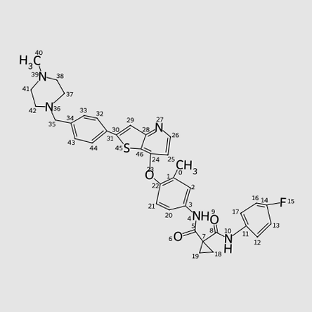 Cc1cc(NC(=O)C2(C(=O)Nc3ccc(F)cc3)CC2)ccc1Oc1ccnc2cc(-c3ccc(CN4CCN(C)CC4)cc3)sc12